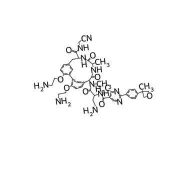 Cc1nc(-c2ccc(C3(C)COC3)cc2)ncc1C(=O)NC(CCN)C(=O)N(C)C1C(=O)NC(C)C(=O)NC(C(=O)NCC#N)Cc2ccc(OCCN)c(c2)-c2cc1ccc2OCCN